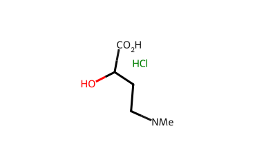 CNCCC(O)C(=O)O.Cl